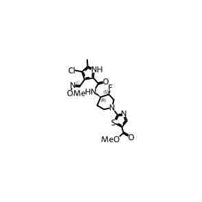 CO/N=C/c1c(C(=O)N[C@@H]2CCN(c3ncc(C(=O)OC)s3)C[C@@H]2F)[nH]c(C)c1Cl